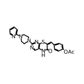 CC(=O)Oc1ccc(C=C2Sc3nc(N4CCN(c5ccccn5)CC4)ncc3NC2=O)cc1